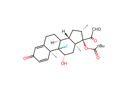 CCCCC(=O)O[C@]1(C(=O)C=O)[C@@H](C)C[C@H]2[C@@H]3CCC4=CC(=O)C=C[C@]4(C)[C@@]3(F)[C@@H](O)C[C@@]21C